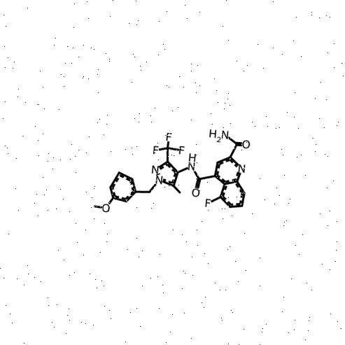 COc1cccc(Cn2nc(C(F)(F)F)c(NC(=O)c3cc(C(N)=O)nc4cccc(F)c34)c2C)c1